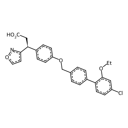 CCOc1cc(Cl)ccc1-c1ccc(COc2ccc([C@H](CC(=O)O)c3ccon3)cc2)cc1